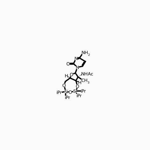 CC(=O)N[C@@]1(C)C(n2ccc(N)nc2=O)O[C@@H]2CO[Si](C(C)C)(C(C)C)O[Si](C(C)C)(C(C)C)O[C@H]21